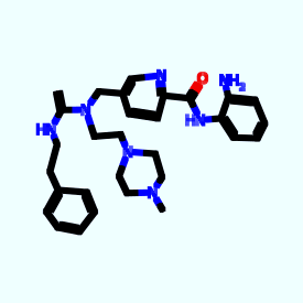 C=C(NCCc1ccccc1)N(CCN1CCN(C)CC1)Cc1ccc(C(=O)Nc2ccccc2N)nc1